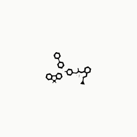 Cc1c(-c2ccc(N(c3ccc(-c4ccccc4)cc3)c3ccc4c(c3)-c3ccccc3C4(C)C)cc2)nn2c(C3CC3)cc3ccccc3c12